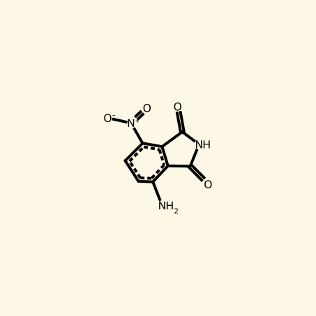 Nc1ccc([N+](=O)[O-])c2c1C(=O)NC2=O